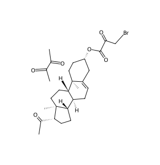 CC(=O)C(C)=O.CC(=O)[C@H]1CC[C@H]2[C@@H]3CC=C4C[C@@H](OC(=O)C(=O)CBr)CC[C@]4(C)[C@H]3CC[C@]12C